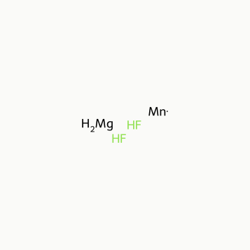 F.F.[MgH2].[Mn]